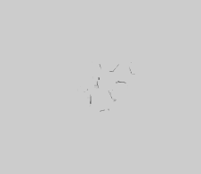 C=Cc1ccccc1-c1ccccc(C)c1=O